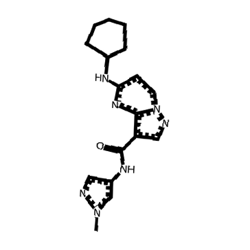 Cn1cc(NC(=O)c2cnn3ccc(NC4CCCCC4)nc23)cn1